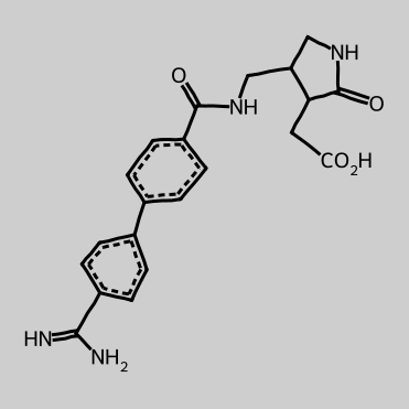 N=C(N)c1ccc(-c2ccc(C(=O)NCC3CNC(=O)C3CC(=O)O)cc2)cc1